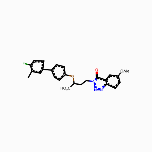 COc1ccc2nnn(CCC(Sc3ccc(-c4ccc(F)c(C)c4)cc3)C(=O)O)c(=O)c2c1